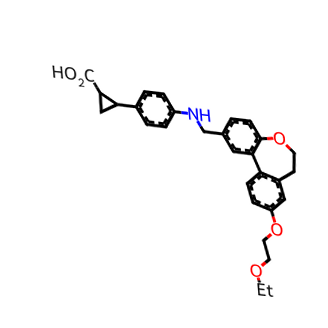 CCOCCOc1ccc2c(c1)CCOc1ccc(CNc3ccc(C4CC4C(=O)O)cc3)cc1-2